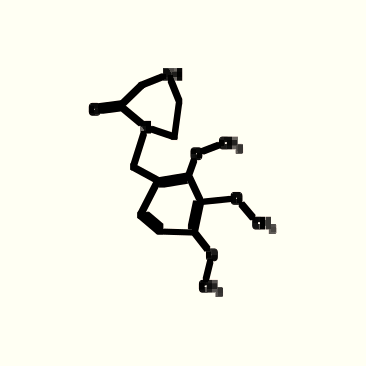 COc1ccc(CN2CCNCC2=O)c(OC)c1OC